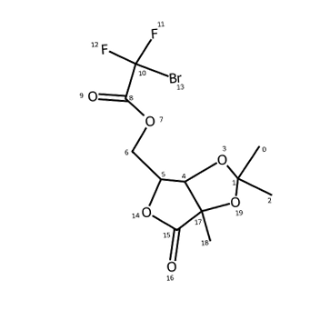 CC1(C)OC2C(COC(=O)C(F)(F)Br)OC(=O)C2(C)O1